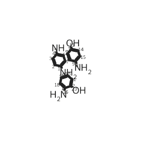 Nc1ccc(N)cc1.Nc1ccc(O)cc1.Nc1ccccc1O